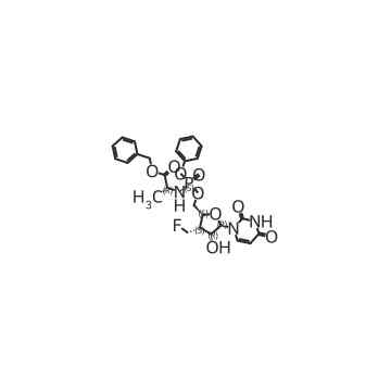 C[C@@H](N[P@](=O)(OC[C@H]1O[C@@H](n2ccc(=O)[nH]c2=O)[C@H](O)[C@@H]1CF)Oc1ccccc1)C(=O)OCc1ccccc1